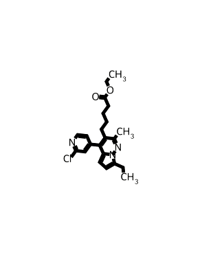 CCOC(=O)CCCCc1c(C)nn2c(CC)ccc2c1-c1ccnc(Cl)c1